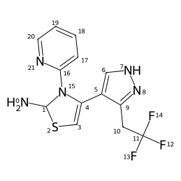 NC1SC=C(c2c[nH]nc2CC(F)(F)F)N1c1ccccn1